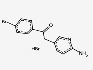 Br.Nc1ccc(CC(=O)c2ccc(Br)cc2)cn1